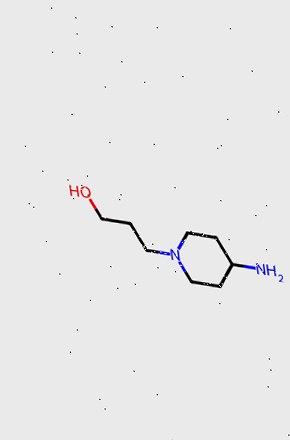 NC1CCN(CCCO)CC1